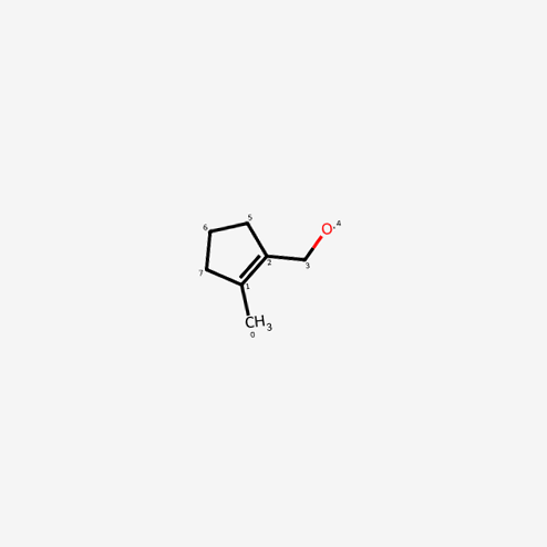 CC1=C(C[O])CCC1